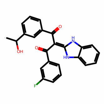 [CH2]C(O)c1cccc(C(=O)C(C(=O)c2cccc(F)c2)=C2Nc3ccccc3N2)c1